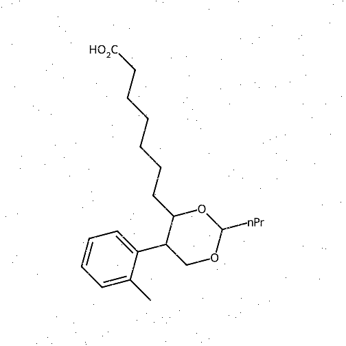 CCCC1OCC(c2ccccc2C)C(CCCCCCC(=O)O)O1